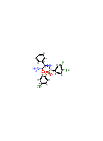 NC(=O)C(N[C@@H](c1ccc(F)c(F)c1)S(=O)(=O)c1ccc(Cl)cc1)c1ccccc1